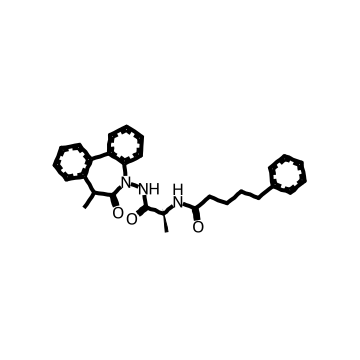 CC1C(=O)N(NC(=O)[C@H](C)NC(=O)CCCCc2ccccc2)c2ccccc2-c2ccccc21